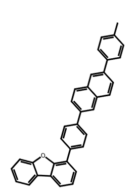 Cc1ccc(-c2ccc3cc(-c4ccc(-c5cccc6c5oc5ccccc56)cc4)ccc3c2)cc1